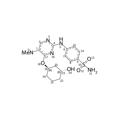 CNc1cnc(Nc2ccc(S(N)(=O)=O)cc2)nc1O[C@@H]1CCC[C@@H](O)C1